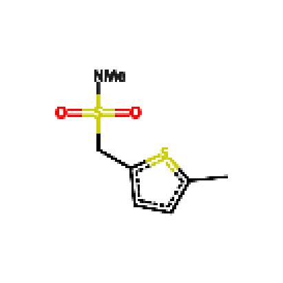 CNS(=O)(=O)Cc1ccc(C)s1